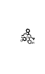 C=CCn1cc(CN(C(=O)C2CNCC[C@@H]2c2ccn(C)c(=O)c2)C2CC2)c2ccccc21